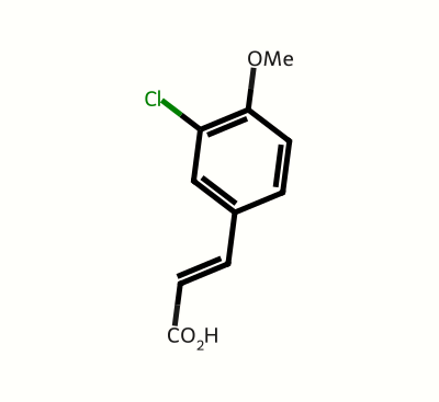 COc1ccc(C=CC(=O)O)cc1Cl